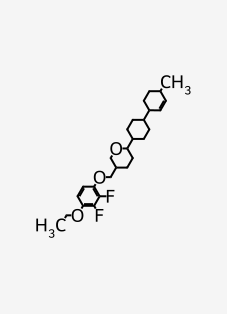 CCOc1ccc(OCC2CCC(C3CCC(C4C=CC(C)CC4)CC3)OC2)c(F)c1F